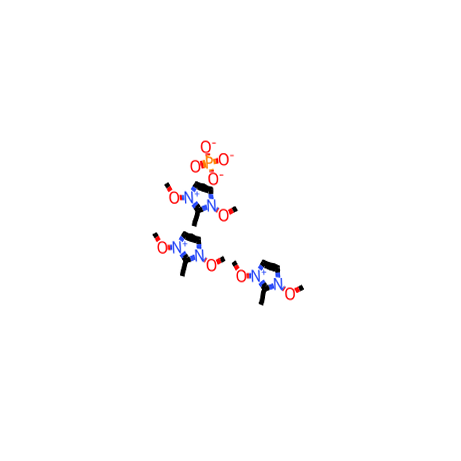 COn1cc[n+](OC)c1C.COn1cc[n+](OC)c1C.COn1cc[n+](OC)c1C.O=P([O-])([O-])[O-]